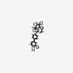 CC1(C)O[C@H](c2ccc(-c3cc[nH]c(=O)c3)cc2)[C@@H](CF)N1C(=O)C(Cl)Cl